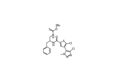 Cn1nnc(Cl)c1-c1cc(C(=O)NC(CNC(=S)OC(C)(C)C)Cc2ccccc2)sc1Cl